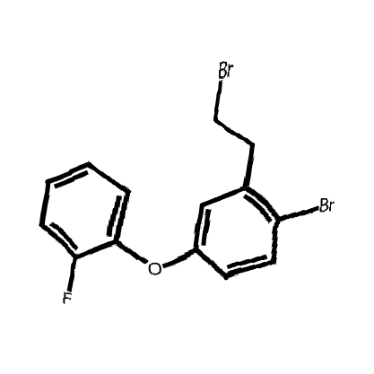 Fc1ccccc1Oc1ccc(Br)c(CCBr)c1